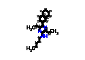 CCCCCNc1nc(CC)c(-c2ccc3c(c2)CCCC3)nc1CC